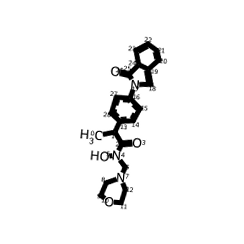 CC(C(=O)N(O)CN1CCOCC1)c1ccc(N2C=C3C=CC=CC3C2=O)cc1